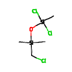 C[Si](Cl)(Cl)O[Si](C)(C)CCl